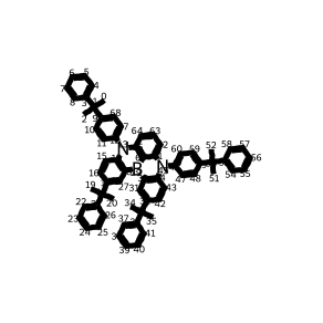 CC(C)(c1ccccc1)c1ccc(N2c3ccc(C(C)(C)c4ccccc4)cc3B3c4cc(C(C)(C)c5ccccc5)ccc4N(c4ccc(C(C)(C)c5ccccc5)cc4)c4cccc2c43)cc1